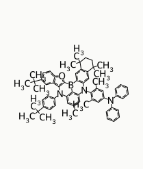 Cc1cc2c3c(c1)N(c1ccc(C(C)(C)C)cc1)c1c(oc4ccc(C(C)(C)C)cc14)B3c1cc3c(cc1N2c1c(C)cc(N(c2ccccc2)c2ccccc2)cc1C)C(C)(C)CCC3(C)C